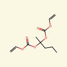 C=COC(=O)OC(C)(CCC)OC(=O)OC=C